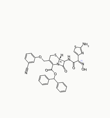 N#Cc1cccc(OCC2=C(C(=O)OC(c3ccccc3)c3ccccc3)N3C(=O)C(NC(=O)/C(=N\O)c4csc(N)n4)[C@H]3SC2)c1